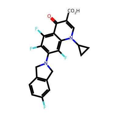 O=C(O)c1cn(C2CC2)c2c(F)c(N3Cc4ccc(F)cc4C3)c(F)c(F)c2c1=O